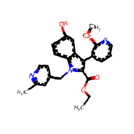 CCOC(=O)c1c(-c2cccnc2OC)c2cc(O)ccc2n1Cc1ccnc(C)c1